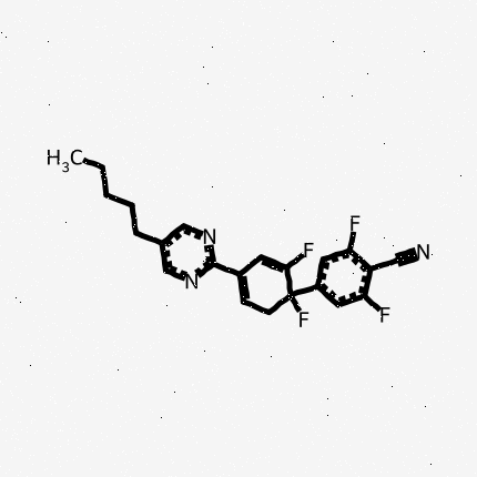 CCCCCc1cnc(C2=CCC(F)(c3cc(F)c(C#N)c(F)c3)C(F)=C2)nc1